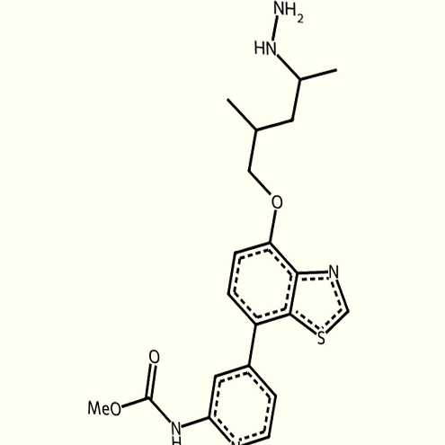 COC(=O)Nc1cc(-c2ccc(OCC(C)CC(C)NN)c3ncsc23)ccn1